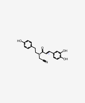 N#CCN(CCc1ccc(O)cc1)C(=O)/C=C/c1ccc(O)c(O)c1